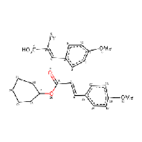 COc1ccc(C=C(C(=O)O)C(C)C)cc1.COc1ccc(C=CC(=O)OC2CCCCC2)cc1